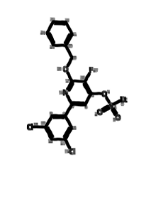 CCS(=O)(=O)Oc1cc(-c2cc(Cl)cc(Cl)c2)nc(OCc2ccccc2)c1F